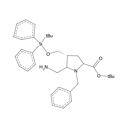 CC(C)(C)OC(=O)C1C[C@@H](CO[Si](c2ccccc2)(c2ccccc2)C(C)(C)C)C(CN)N1Cc1ccccc1